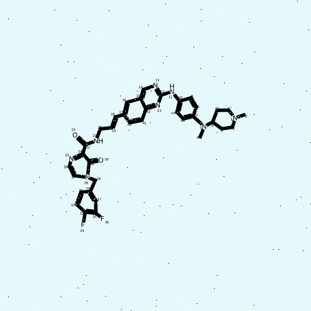 CN1CCC(N(C)c2ccc(Nc3ncc4cc(/C=C/CNC(=O)c5nccn(Cc6ccc(F)c(F)c6)c5=O)ccc4n3)cc2)CC1